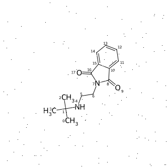 CC(C)(C)NCCN1C(=O)c2ccccc2C1=O